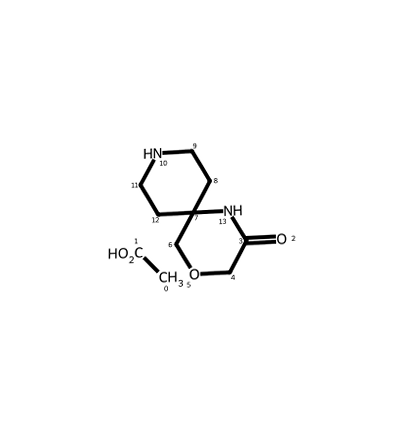 CC(=O)O.O=C1COCC2(CCNCC2)N1